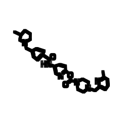 Cc1cccc(CN2CCN(C(=O)Oc3ccc(NC(=O)c4ccc(CN5CCCC(C)C5)cc4)cn3)CC2)n1